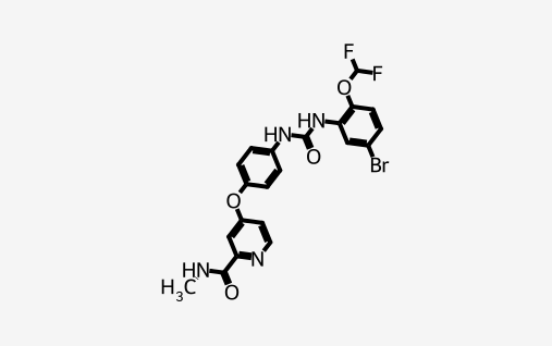 CNC(=O)c1cc(Oc2ccc(NC(=O)Nc3cc(Br)ccc3OC(F)F)cc2)ccn1